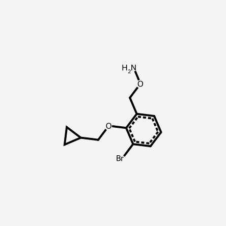 NOCc1cccc(Br)c1OCC1CC1